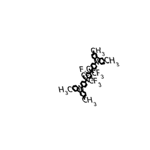 Cc1ccc2c(c1)c1cc(C)ccc1n2-c1ccc(C(CC(F)(F)F)(CC(F)(F)F)c2ccc(C(c3ccc(-n4c5ccc(C)cc5c5cc(C)ccc54)cc3)(C(F)(F)F)C(F)(F)F)cc2)cc1